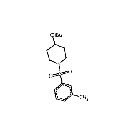 Cc1cccc(S(=O)(=O)N2CCC(OCC(C)C)CC2)c1